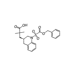 CC(C)(C[C@@H]1Cc2ccccc2N(S(=O)(=O)C(=O)OCc2ccccc2)C1)C(=O)O